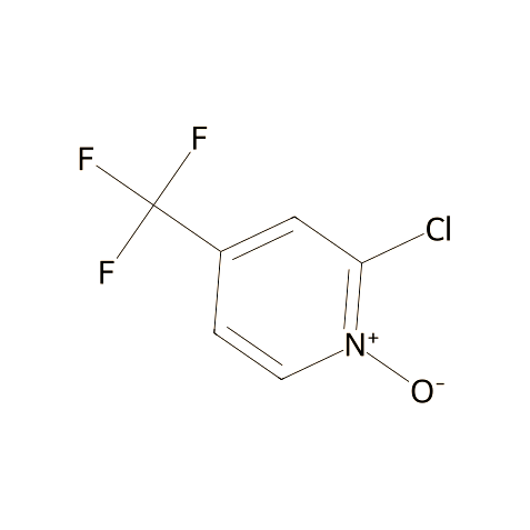 [O-][n+]1ccc(C(F)(F)F)cc1Cl